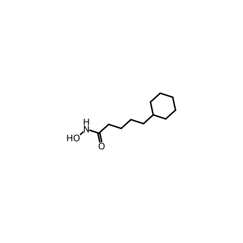 O=C(CCCCC1CCCCC1)NO